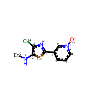 CCNc1sc(-c2ccc[n+]([O-])c2)nc1Cl